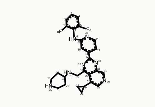 Fc1cccc(F)c1Nc1cc(-c2nc(CNC3CCNCC3)c3c(C4CC4)cncc3n2)ccn1